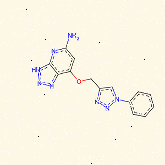 Nc1cc(OCc2cn(-c3ccccc3)nn2)c2nn[nH]c2n1